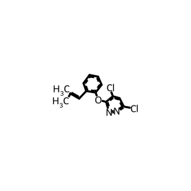 CC(C)=Cc1ccccc1Oc1nnc(Cl)cc1Cl